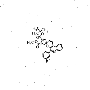 COC(=O)[C@@H]1C[C@]2(C=Cc3c(c(-c4cccc(F)c4)nc4ccccc34)O2)CN1C(=O)OC(C)(C)C